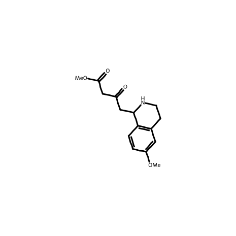 COC(=O)CC(=O)CC1NCCc2cc(OC)ccc21